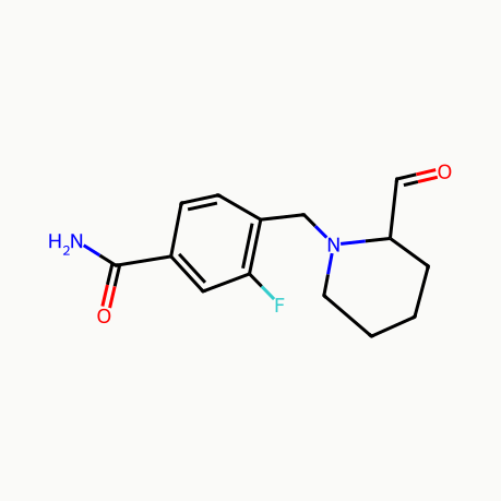 NC(=O)c1ccc(CN2CCCCC2C=O)c(F)c1